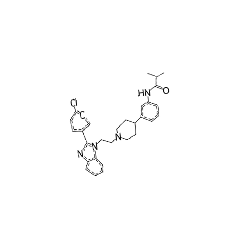 CC(C)C(=O)Nc1cccc(C2CCN(CCn3c(-c4ccc(Cl)cc4)nc4ccccc43)CC2)c1